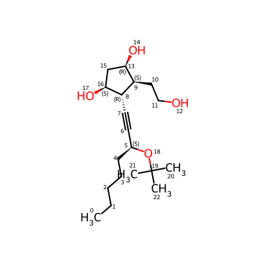 CCCCC[C@@H](C#C[C@H]1[C@H](CCO)[C@H](O)C[C@@H]1O)OC(C)(C)C